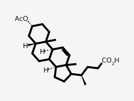 CC(=O)O[C@@H]1CCC2(C)[C@H](CCC3[C@@H]4CCC([C@H](C)CCC(=O)O)C4(C)C=C[C@@H]32)C1